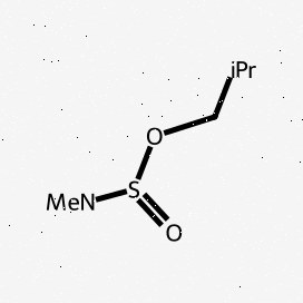 CNS(=O)OCC(C)C